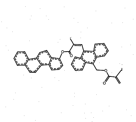 C=C(I)C(=O)OCc1c2ccccc2c(/C=C(/I)C(=O)Oc2cccc3c2ccc2c4ccccc4ccc32)c2ccccc12